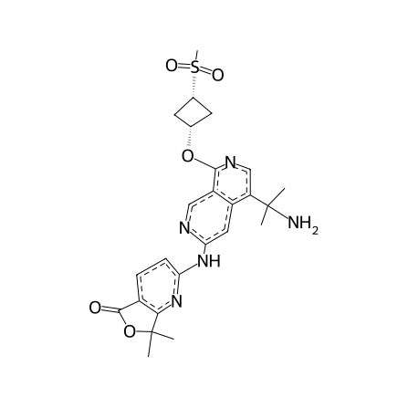 CC(C)(N)c1cnc(O[C@H]2C[C@@H](S(C)(=O)=O)C2)c2cnc(Nc3ccc4c(n3)C(C)(C)OC4=O)cc12